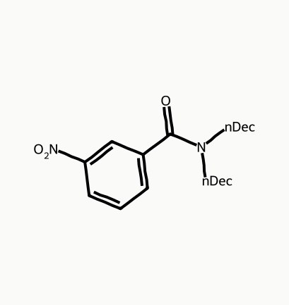 CCCCCCCCCCN(CCCCCCCCCC)C(=O)c1cccc([N+](=O)[O-])c1